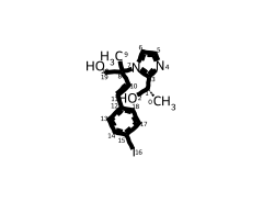 C[C@H](O)c1nccn1C(C)(/C=C/c1ccc(I)cc1)CO